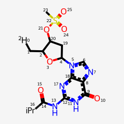 [2H]CC1OC(n2cnc3c(=O)[nH]c(NC(=O)C(C)C)nc32)CC1OS(C)(=O)=O